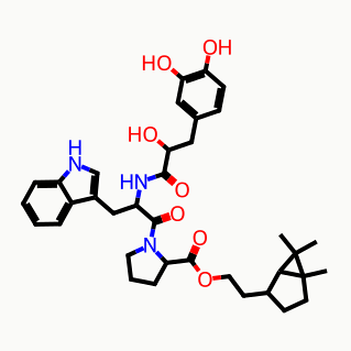 CC1(C)C2C(CCOC(=O)C3CCCN3C(=O)C(Cc3c[nH]c4ccccc34)NC(=O)C(O)Cc3ccc(O)c(O)c3)CCC21C